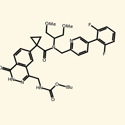 COCC(COC)N(Cc1ccc(-c2c(F)cccc2F)cn1)C(=O)C1(c2ccc3c(=O)[nH]nc(CNC(=O)OC(C)(C)C)c3c2)CC1